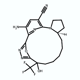 N#Cc1cc(N)c2nc1N1CCC[C@H]1CCCCCC(O)(C(F)(F)F)c1nnc-2o1